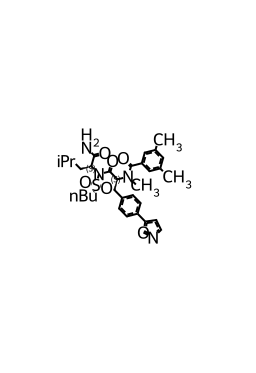 CCCCS(=O)(=O)N(C(=O)[C@H](Cc1ccc(-c2ccno2)cc1)N(C)C(=O)c1cc(C)cc(C)c1)[C@@H](CC(C)C)C(N)=O